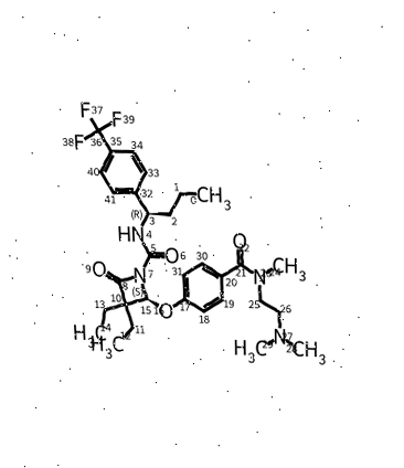 CCC[C@@H](NC(=O)N1C(=O)C(CC)(CC)[C@@H]1Oc1ccc(C(=O)N(C)CCN(C)C)cc1)c1ccc(C(F)(F)F)cc1